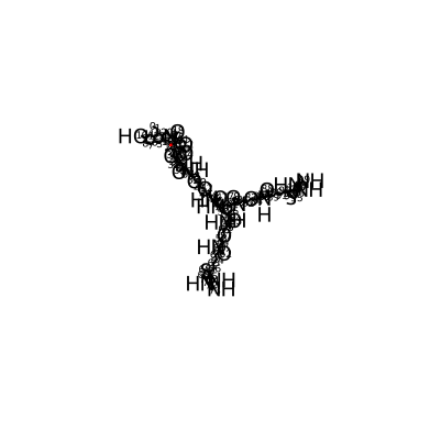 CCc1c2c(cc3ccc(O)cc13)-c1cc3c(c(=O)n1C2)COC(=O)[C@@]3(CC)OC(=O)[C@H](C)NC(=O)NCCOCCOCCNC(=O)Nc1cc(C(=O)NCCOCCNC(=O)CCCCC2SCC3NC(=N)NC32)cc(C(=O)NCCOCCNC(=O)CCCCC2SCC3NC(=N)NC32)c1